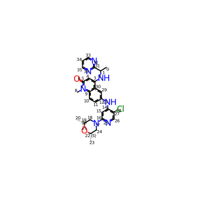 CC(Nc1cc(=O)n(C)c2ccc(Nc3cc(N4C[C@@H](C)O[C@@H](C)C4)ncc3Cl)cc12)c1ncccn1